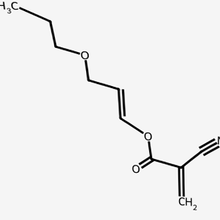 C=C(C#N)C(=O)OC=CCOCCC